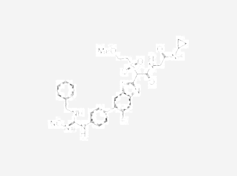 COCCS(=O)(=O)C(C(=O)NCC(=O)NC1CC1)c1nc2cc(F)c(-c3ccc(N/C(=N/C#N)NCc4ccccc4)cc3)cc2s1